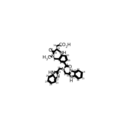 CN1Cc2cc(C(=O)N(Cc3nc4ccccc4[nH]3)Cc3nc4ccccc4[nH]3)ccc2N[C@@H](CC(=O)O)C1=O